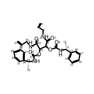 C=CCNC(=O)C(OC(=O)N[C@H](C)c1ccccc1)C(OC(=O)N[C@H](C)c1ccccc1)C(=O)NCC=C